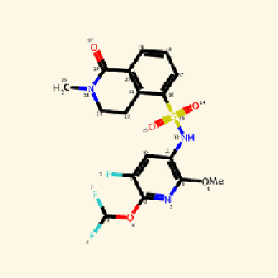 COc1nc(OC(F)F)c(F)cc1NS(=O)(=O)c1cccc2c1CCN(C)C2=O